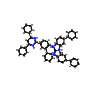 c1ccc(-c2ccc3nc4n(-c5ccc(-c6nc(-c7ccccc7)cc(-c7ccccc7)n6)cc5-c5ccccc5)c5ccc(-c6ccccc6)cc5n4c3c2)cc1